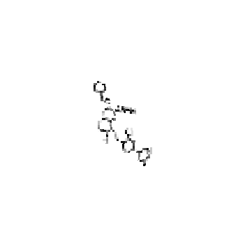 COc1cc2c(cc1OCc1ccccc1)CCNC2/C=C/c1ccc(-c2cncnc2)cc1Cl